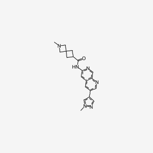 CN1CC2(CC(C(=O)Nc3cc4cc(-c5cnn(C)c5)cnc4cn3)C2)C1